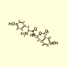 NC(Cc1ccc(O)cc1)C(=O)NC(Cc1ccc(O)cc1)OC=O